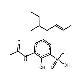 CC(=O)Nc1cccc([As](=O)(O)O)c1O.CC=CCC(C)CC